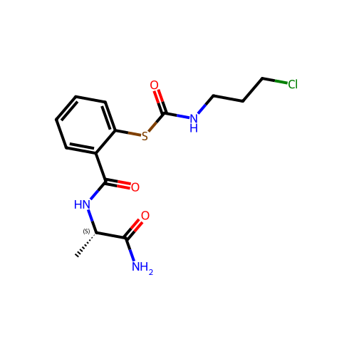 C[C@H](NC(=O)c1ccccc1SC(=O)NCCCCl)C(N)=O